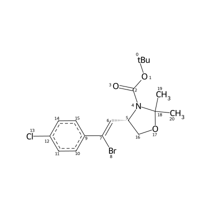 CC(C)(C)OC(=O)N1[C@@H](/C=C(\Br)c2ccc(Cl)cc2)COC1(C)C